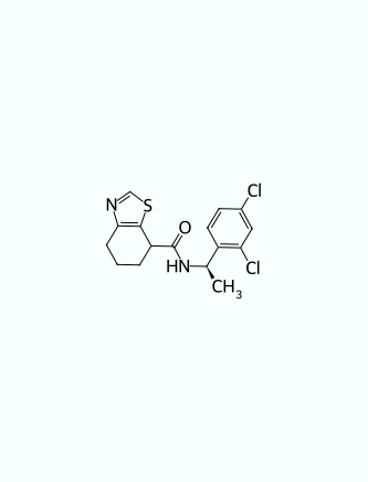 C[C@@H](NC(=O)C1CCCc2ncsc21)c1ccc(Cl)cc1Cl